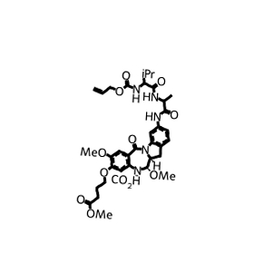 C=CCOC(=O)NC(C(=O)NC(C)C(=O)Nc1ccc2c(c1)N1C(=O)c3cc(OC)c(OCCCC(=O)OC)cc3N(C(=O)O)[C@@H](OC)[C@@H]1C2)C(C)C